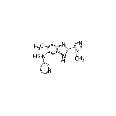 Cc1cc2nc(-c3cncn3C)[nH]c2cc1N(S)c1cccnc1